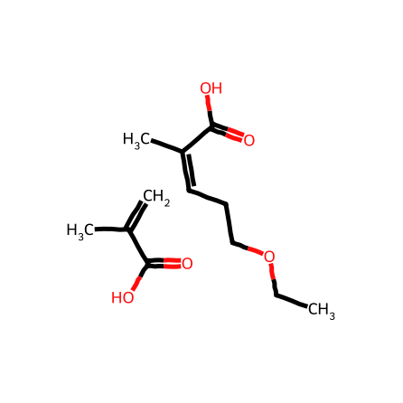 C=C(C)C(=O)O.CCOCCC=C(C)C(=O)O